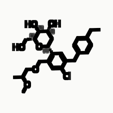 CCc1ccc(Cc2cc([C@H]3C[C@@H](O)[C@H](O)[C@@H](CO)O3)c(COCC(C)OC)cc2Cl)cc1